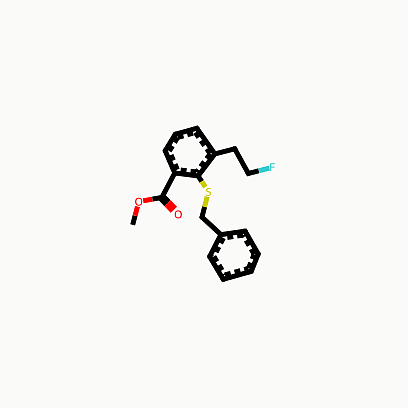 COC(=O)c1cccc(CCF)c1SCc1ccccc1